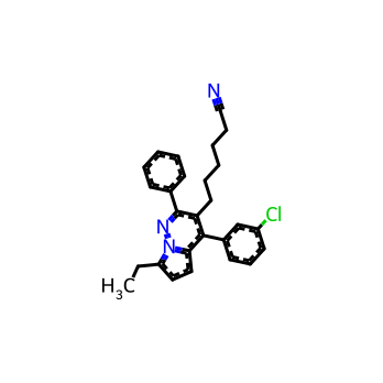 CCc1ccc2c(-c3cccc(Cl)c3)c(CCCCCC#N)c(-c3ccccc3)nn12